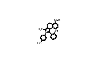 COc1cccc2c1CCc1c-2c(-c2ccccc2C(C)C)n(-c2ccc(O)cc2)c1C